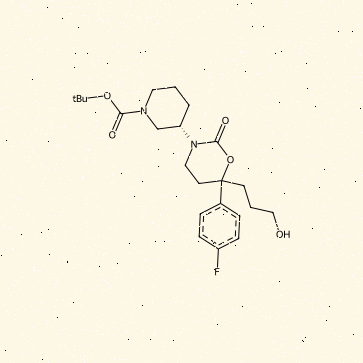 CC(C)(C)OC(=O)N1CCC[C@H](N2CCC(CCCO)(c3ccc(F)cc3)OC2=O)C1